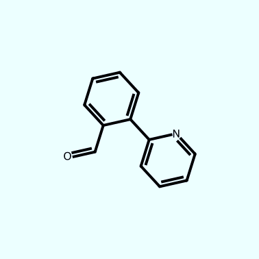 O=Cc1ccccc1-c1ccccn1